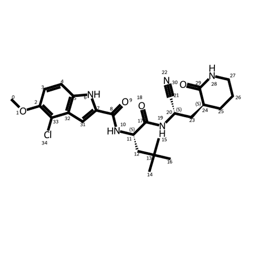 COc1ccc2[nH]c(C(=O)N[C@@H](CC(C)(C)C)C(=O)N[C@H](C#N)C[C@@H]3CCCNC3=O)cc2c1Cl